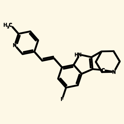 Cc1ccc(C=Cc2cc(F)cc3c4c([nH]c23)C2CCN(CC2)C4)cn1